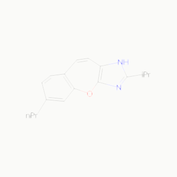 CCCc1ccc2c(c1)Oc1nc(C(C)C)[nH]c1C=C2